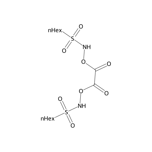 CCCCCCS(=O)(=O)NOC(=O)C(=O)ONS(=O)(=O)CCCCCC